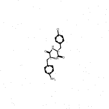 Nc1ccc(C[C@@H]2NC(=O)[C@H](Cc3ccc(Cl)cc3)NC2=O)cc1